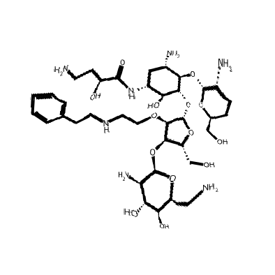 NCC[C@H](O)C(=O)N[C@@H]1C[C@H](N)[C@@H](O[C@H]2O[C@H](CO)CC[C@H]2N)[C@H](O[C@@H]2O[C@H](CO)[C@@H](O[C@H]3O[C@@H](CN)[C@@H](O)[C@H](O)[C@H]3N)[C@H]2OCCNCCc2ccccc2)[C@H]1O